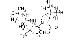 [2H]C([2H])([2H])C1(C([2H])([2H])[2H])C2CN(C(=O)[C@@H](NC(=O)NC(C)(C)C)C(C)(C)C)C(C(=O)O)C21